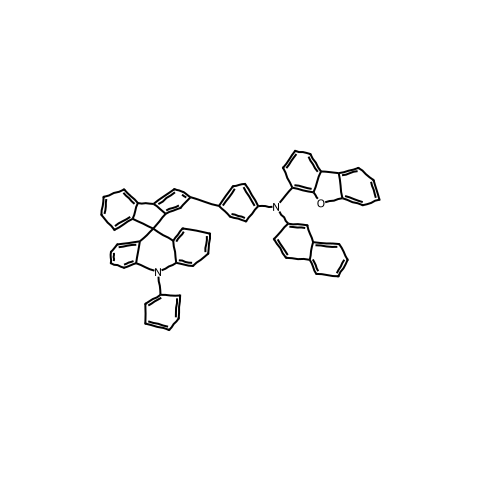 c1ccc(N2c3ccccc3C3(c4ccccc4-c4ccc(-c5ccc(N(c6ccc7ccccc7c6)c6cccc7c6oc6ccccc67)cc5)cc43)c3ccccc32)cc1